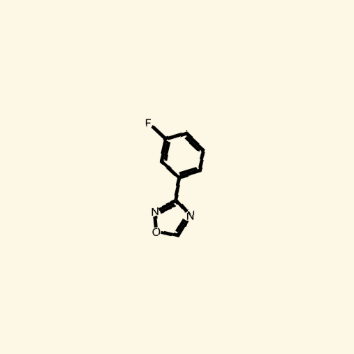 Fc1[c]ccc(-c2ncon2)c1